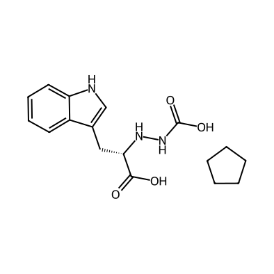 C1CCCC1.O=C(O)NN[C@@H](Cc1c[nH]c2ccccc12)C(=O)O